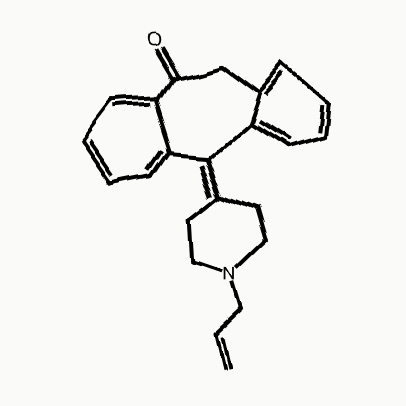 C=CCN1CCC(=C2c3ccccc3CC(=O)c3ccccc32)CC1